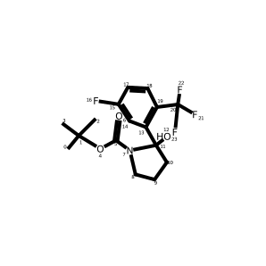 CC(C)(C)OC(=O)N1CCCC1(O)c1cc(F)ccc1C(F)(F)F